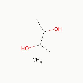 C.CC(O)C(C)O